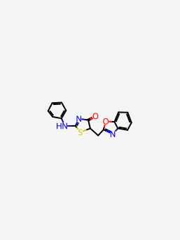 O=C1N=C(Nc2ccccc2)SC1Cc1nc2ccccc2o1